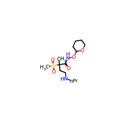 CCCNCCC(C)(C(=O)NOC1CCCCO1)S(C)(=O)=O